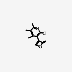 C=C1OC=C1c1c(Cl)nc(C)c(C)c1C